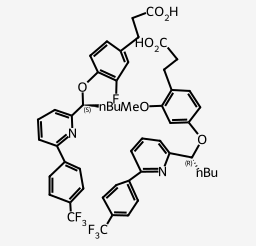 CCCC[C@@H](Oc1ccc(CCC(=O)O)c(OC)c1)c1cccc(-c2ccc(C(F)(F)F)cc2)n1.CCCC[C@H](Oc1ccc(CCC(=O)O)cc1F)c1cccc(-c2ccc(C(F)(F)F)cc2)n1